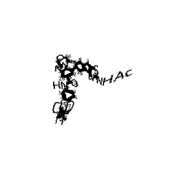 CC(=O)Nc1nc2c(s1)Cc1ccc(-c3cc(C(=O)Nc4ccc(OC(F)(F)Cl)cc4)cc4nc5n(c34)[C@H](C)COC5)cc1-2